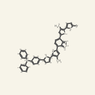 Cc1cc(-c2ccc(-c3cc(C)c(-c4ccc(Br)s4)s3)c3nsnc23)sc1C1=CCC(c2ccc(N(c3ccccc3)c3ccccc3)cc2)S1